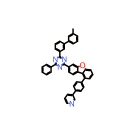 Cc1cccc(-c2cccc(-c3nc(-c4ccccc4)nc(-c4ccc5c(c4)oc4cccc(-c6ccc(-c7cccnc7)cc6)c45)n3)c2)c1